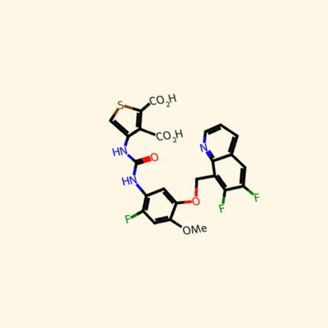 COc1cc(F)c(NC(=O)Nc2csc(C(=O)O)c2C(=O)O)cc1OCc1c(F)c(F)cc2cccnc12